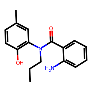 CCCN(C(=O)c1ccccc1N)c1cc(C)ccc1O